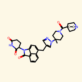 CC1(n2cc(Cc3ccc4c5c(cccc35)C(=O)N4C3CCC(=O)NC3=O)cn2)CCN(C(=O)C23CCN(CC2)CC3)CC1